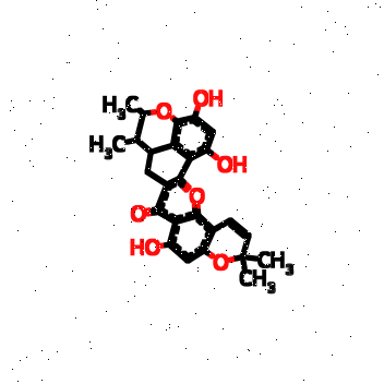 CC1Oc2c(O)cc(O)c3c2C(Cc2c-3oc3c4c(cc(O)c3c2=O)OC(C)(C)C=C4)C1C